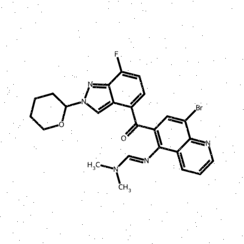 CN(C)/C=N/c1c(C(=O)c2ccc(F)c3nn(C4CCCCO4)cc23)cc(Br)c2ncccc12